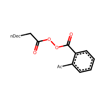 CCCCCCCCCCCC(=O)OOC(=O)c1ccccc1C(C)=O